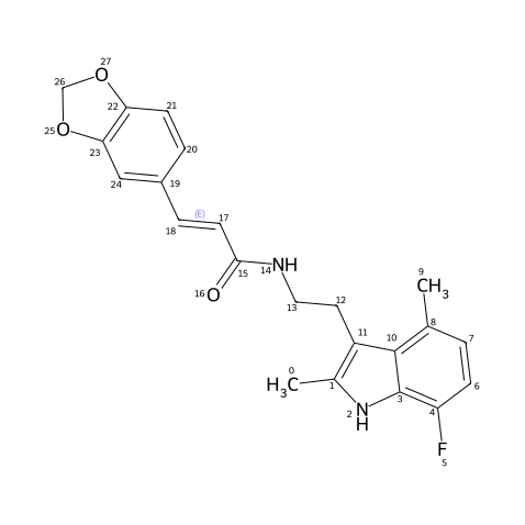 Cc1[nH]c2c(F)ccc(C)c2c1CCNC(=O)/C=C/c1ccc2c(c1)OCO2